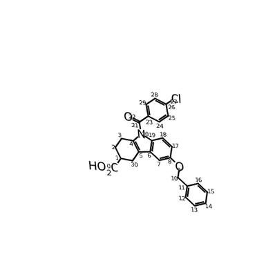 O=C(O)C1CCc2c(c3cc(OCc4ccccc4)ccc3n2C(=O)c2ccc(Cl)cc2)C1